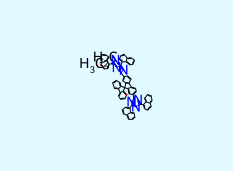 C=N/C(=N\C(=N/Cc1ccc2c(c1)C1(c3ccccc3-c3ccccc31)c1cc(-c3nc(-c4cccc5ccccc45)nc(-c4cccc5ccccc45)n3)ccc1-2)c1cccc2ccccc12)C1=CC=CC2(C)CC=CC=C12